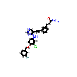 NC(=O)CCc1cccc(C#Cc2cncnc2Nc2ccc(OCc3cccc(F)c3)c(Cl)c2)c1